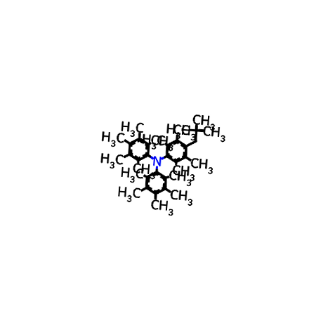 Cc1c(C)c(C)c(N(c2c(C)c(C)c(C)c(C)c2C)c2c(C)c(C)c(CC(C)(C)C)c(C)c2C)c(C)c1C